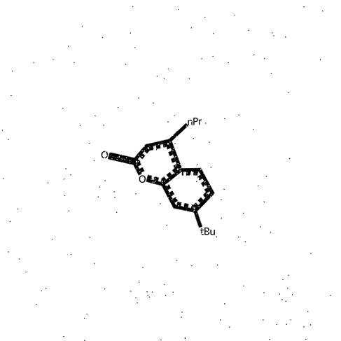 CCCc1cc(=O)oc2cc(C(C)(C)C)ccc12